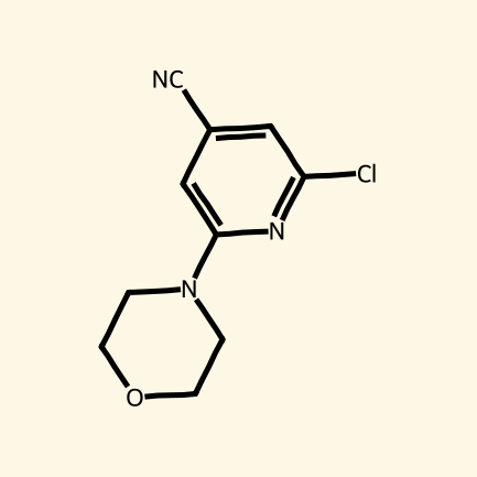 N#Cc1cc(Cl)nc(N2CCOCC2)c1